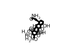 CN(C)[C@@H]1C(O)=C(C(N)=O)C(=O)[C@@]2(O)C(O)=C3C(=O)c4c(O)ccc(C#CC(N)=O)c4C[C@H]3C[C@H]12